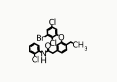 CCc1ccc(CC(=O)Nc2ccccc2Cl)cc1Oc1cc(Cl)cc(Br)c1Cl